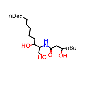 CCCCCCCCCCCCCCCC(O)C(CO)NC(=O)CC(O)CCCC